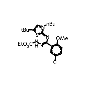 CCCCn1cc(C(C)(C)C)s/c1=N\C(=N/NC(=O)OCC)c1cc(Cl)ccc1OC